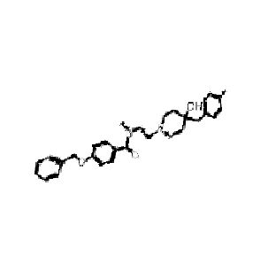 Cc1ccc(CC2(O)CCN(CCN(C)C(=O)c3ccc(OCc4ccccc4)cc3)CC2)cc1